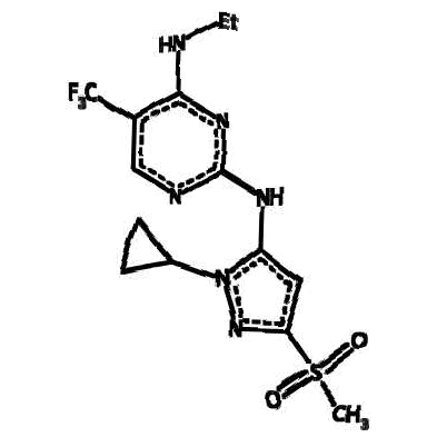 CCNc1nc(Nc2cc(S(C)(=O)=O)nn2C2CC2)ncc1C(F)(F)F